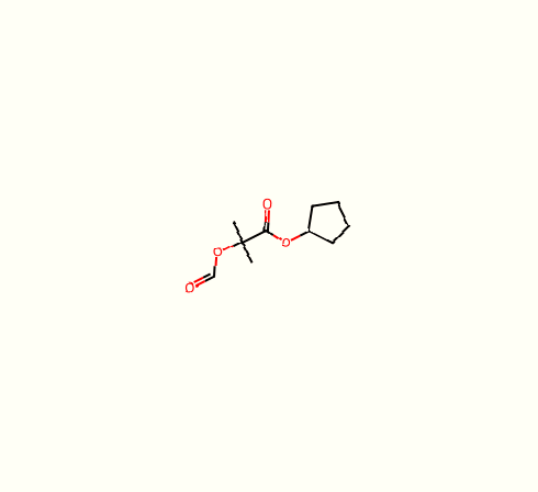 CC(C)(OC=O)C(=O)OC1CCCC1